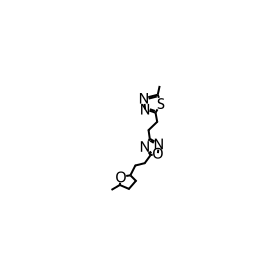 Cc1nnc(CCc2noc(CCC3CCC(C)O3)n2)s1